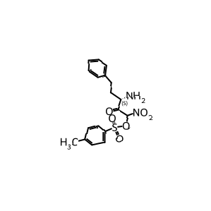 Cc1ccc(S(=O)(=O)OC(C(=O)[C@@H](N)CCc2ccccc2)[N+](=O)[O-])cc1